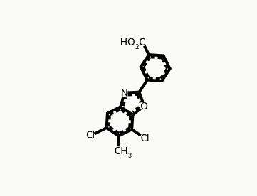 Cc1c(Cl)cc2nc(-c3cccc(C(=O)O)c3)oc2c1Cl